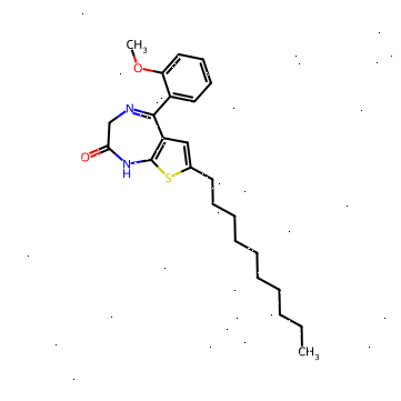 CCCCCCCCCCc1cc2c(s1)NC(=O)CN=C2c1ccccc1OC